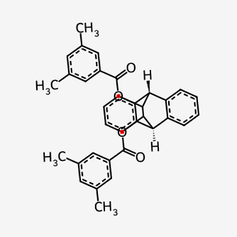 Cc1cc(C)cc(C(=O)OC2C(OC(=O)c3cc(C)cc(C)c3)[C@H]3c4ccccc4[C@H]2c2ccccc23)c1